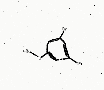 CCCCOc1cc(Br)cc([C](C)C)c1